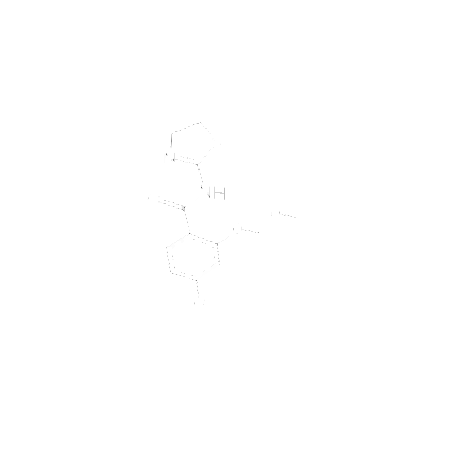 COCOc1cc(OC)ccc1C(=O)NC1=NCCS1